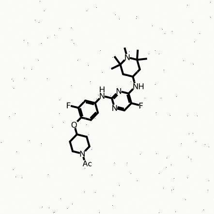 CC(=O)N1CCC(Oc2ccc(Nc3ncc(F)c(NC4CC(C)(C)N(C)C(C)(C)C4)n3)cc2F)CC1